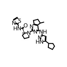 CC1CCc2nc(N3CCC[C@H]3C(=O)Nc3nccs3)nc(Nc3cc(C4CCCC4)[nH]n3)c21